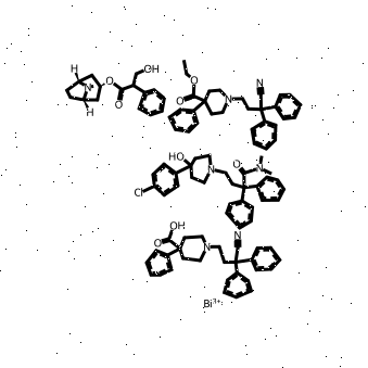 CCOC(=O)C1(c2ccccc2)CCN(CCC(C#N)(c2ccccc2)c2ccccc2)CC1.CN(C)C(=O)C(CCN1CCC(O)(c2ccc(Cl)cc2)CC1)(c1ccccc1)c1ccccc1.CN1[C@@H]2CC[C@H]1C[C@@H](OC(=O)C(CO)c1ccccc1)C2.N#CC(CCN1CCC(C(=O)O)(c2ccccc2)CC1)(c1ccccc1)c1ccccc1.[Bi+3]